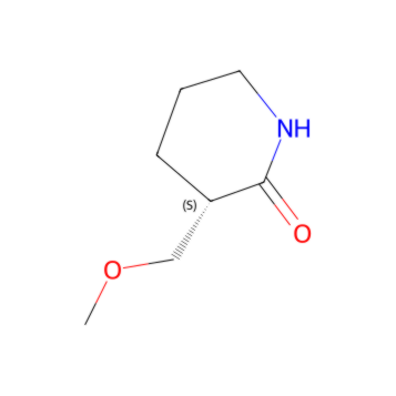 COC[C@@H]1CCCNC1=O